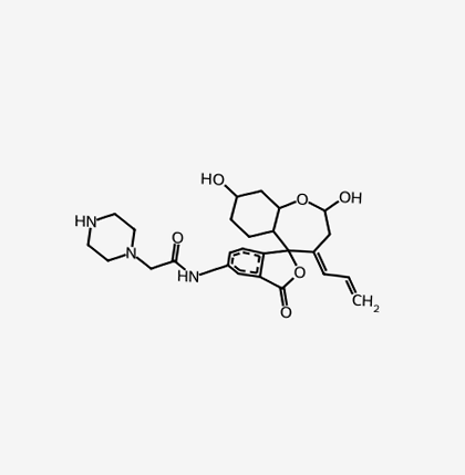 C=C/C=C1\CC(O)OC2CC(O)CCC2C12OC(=O)c1cc(NC(=O)CN3CCNCC3)ccc12